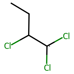 CCC(Cl)[C](Cl)Cl